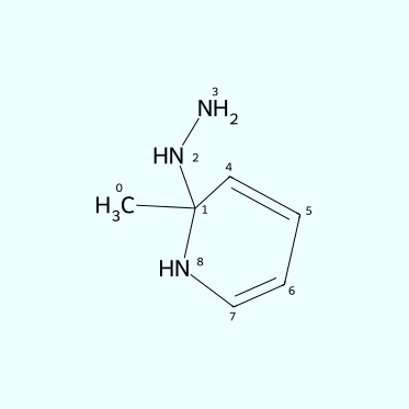 CC1(NN)C=CC=CN1